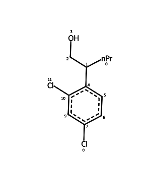 CCCC(CO)c1ccc(Cl)cc1Cl